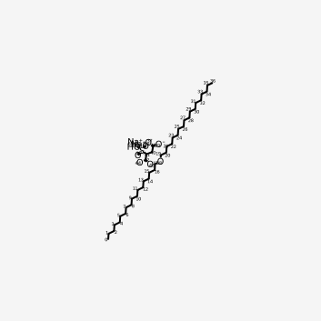 CCCCCCCCCCCCCCCCCCOCCCCCCCCCCCCCCCCCC.O=C([O-])CC(C(=O)[O-])S(=O)(=O)O.[Na+].[Na+]